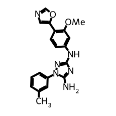 COc1cc(Nc2nc(N)n(-c3cccc(C)c3)n2)ccc1-c1cnco1